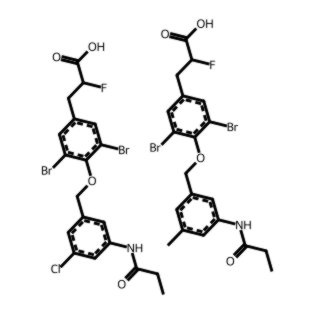 CCC(=O)Nc1cc(C)cc(COc2c(Br)cc(CC(F)C(=O)O)cc2Br)c1.CCC(=O)Nc1cc(Cl)cc(COc2c(Br)cc(CC(F)C(=O)O)cc2Br)c1